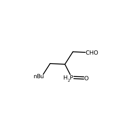 CCCCCC(CC=O)[PH2]=O